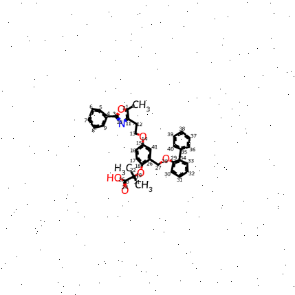 Cc1oc(-c2ccccc2)nc1CCOc1ccc(OC(C)(C)C(=O)O)c(COc2ccccc2-c2ccccc2)c1